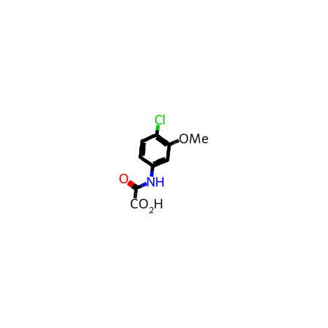 COc1cc(NC(=O)C(=O)O)ccc1Cl